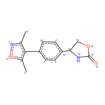 Cc1noc(C)c1-c1ccc(C2COC(=O)N2)cc1